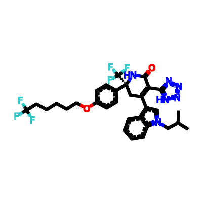 CC(C)Cn1cc(C2=C(c3nnn[nH]3)C(=O)N[C@@](c3ccc(OCCCCCC(F)(F)F)cc3)(C(F)(F)F)C2)c2ccccc21